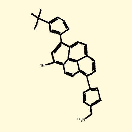 CC(C)(C)c1cccc(-c2cc(Br)c3ccc4c(-c5ccc(CN)cc5)ccc5ccc2c3c54)c1